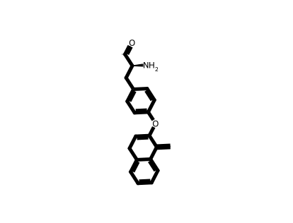 C=C1C(Oc2ccc(C[C@H](N)[C]=O)cc2)=CCc2ccccc21